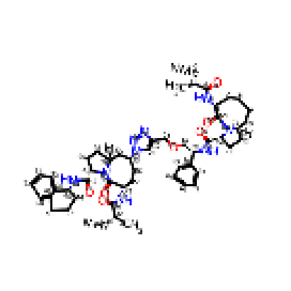 CN[C@@H](C)C(=O)N[C@H]1CCCC[C@H]2CC[C@@H](C(=O)N[C@H](COCc3cn([C@@H]4CC[C@H](NC(=O)[C@H](C)NC)C(=O)N5[C@H](CC[C@H]5C(=O)N[C@@H]5CCCc6ccccc65)C4)nn3)c3ccccc3)N2C1=O